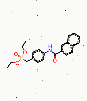 CCOP(=O)(Cc1ccc(NC(=O)c2ccc3ccccc3c2)cc1)OCC